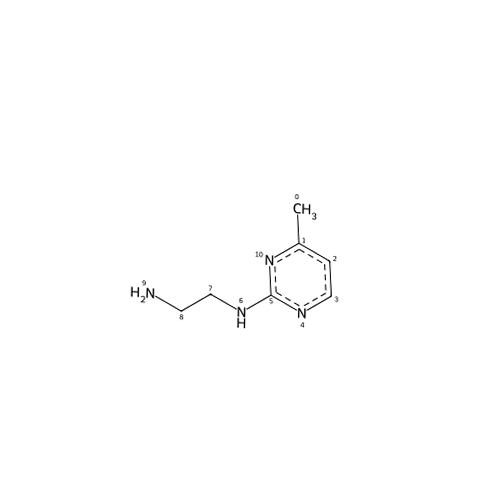 Cc1ccnc(NCCN)n1